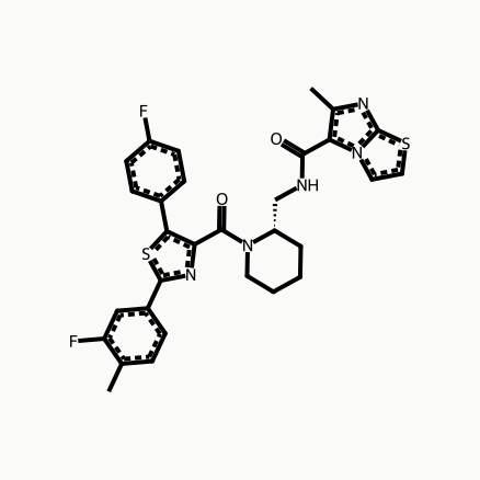 Cc1ccc(-c2nc(C(=O)N3CCCC[C@H]3CNC(=O)c3c(C)nc4sccn34)c(-c3ccc(F)cc3)s2)cc1F